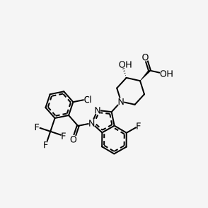 O=C(O)[C@H]1CCN(c2nn(C(=O)c3c(Cl)cccc3C(F)(F)F)c3cccc(F)c23)C[C@@H]1O